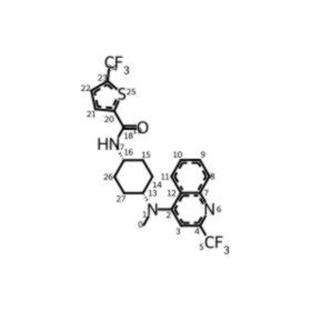 CN(c1cc(C(F)(F)F)nc2ccccc12)[C@H]1CC[C@@H](NC(=O)c2ccc(C(F)(F)F)s2)CC1